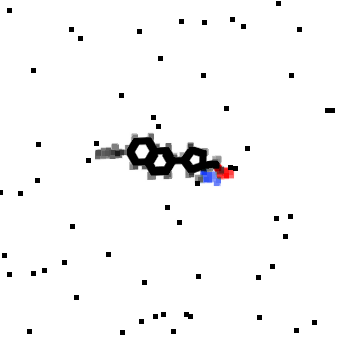 CCCCCC[C@@H]1CCc2cc(C3CC[C@](N)(CO)C3)ccc2C1